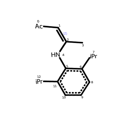 CC(=O)/C=C(/C)Nc1c(C(C)C)cccc1C(C)C